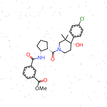 COC(=O)c1cccc(C(=O)N[C@@H]2CCC[C@@H]2C(=O)N2CC[C@](O)(c3ccc(Cl)cc3)C(C)(C)C2)c1